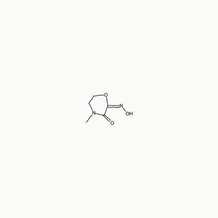 CN1CCOC(=NO)C1=O